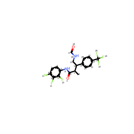 CC(C(=O)Nc1ccc(F)c(F)c1F)C(CNC=O)c1ccc(C(F)(F)F)cc1